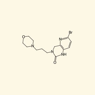 O=C1Nc2ccc(Br)nc2CN1CCCN1CCOCC1